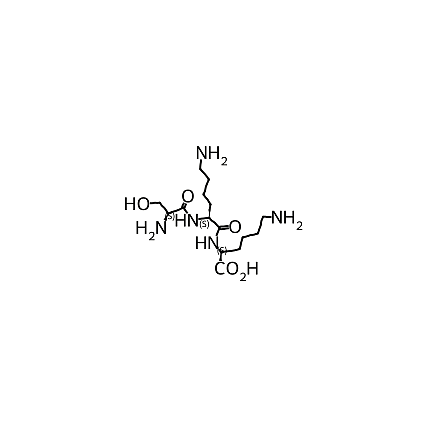 NCCCC[C@H](NC(=O)[C@H](CCCCN)NC(=O)[C@@H](N)CO)C(=O)O